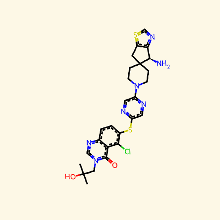 CC(C)(O)Cn1cnc2ccc(Sc3cnc(N4CCC5(CC4)Cc4scnc4[C@H]5N)cn3)c(Cl)c2c1=O